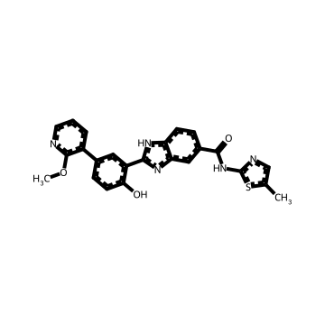 COc1ncccc1-c1ccc(O)c(-c2nc3cc(C(=O)Nc4ncc(C)s4)ccc3[nH]2)c1